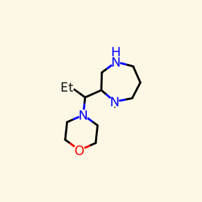 CCC(C1CNCCC[N]1)N1CCOCC1